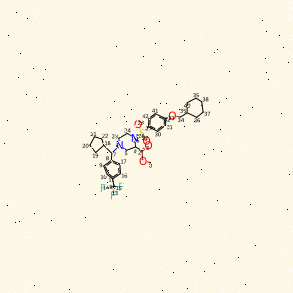 COC(=O)C1CN(C(c2ccc(C(F)(F)F)cc2)C2CCCC2)CCN1S(=O)(=O)c1ccc(OCC2CCCCC2)cc1